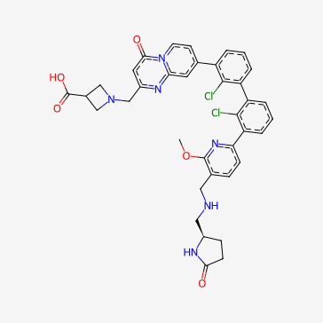 COc1nc(-c2cccc(-c3cccc(-c4ccn5c(=O)cc(CN6CC(C(=O)O)C6)nc5c4)c3Cl)c2Cl)ccc1CNC[C@H]1CCC(=O)N1